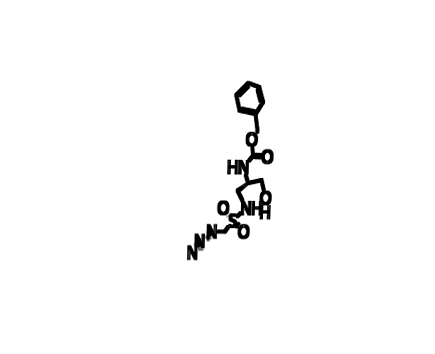 [N-]=[N+]=NCS(=O)(=O)NC[C@H](CO)NC(=O)OCc1ccccc1